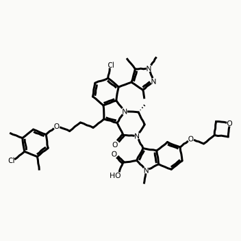 Cc1cc(OCCCc2c3n(c4c(-c5c(C)nn(C)c5C)c(Cl)ccc24)[C@H](C)CN(c2c(C(=O)O)n(C)c4ccc(OCC5COC5)cc24)C3=O)cc(C)c1Cl